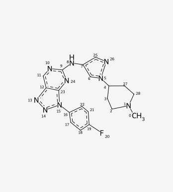 CN1CCC(n2cc(Nc3ncc4nnn(-c5ccc(F)cc5)c4n3)cn2)CC1